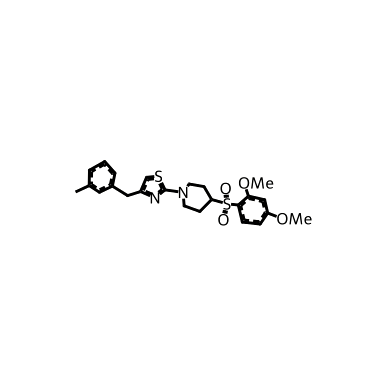 COc1ccc(S(=O)(=O)C2CCN(c3nc(Cc4cccc(C)c4)cs3)CC2)c(OC)c1